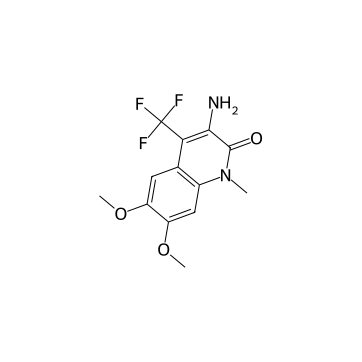 COc1cc2c(C(F)(F)F)c(N)c(=O)n(C)c2cc1OC